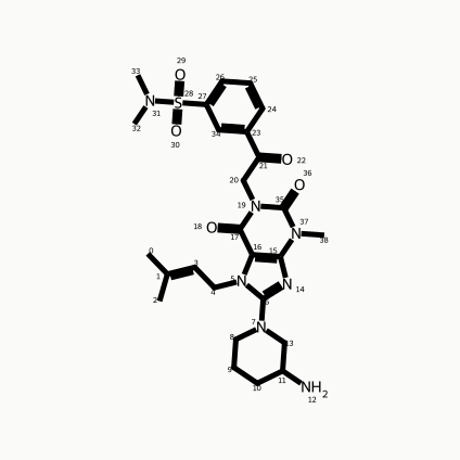 CC(C)=CCn1c(N2CCCC(N)C2)nc2c1c(=O)n(CC(=O)c1cccc(S(=O)(=O)N(C)C)c1)c(=O)n2C